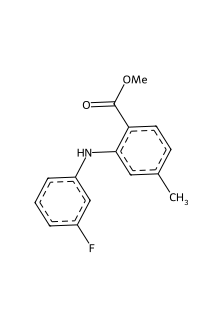 COC(=O)c1ccc(C)cc1Nc1cccc(F)c1